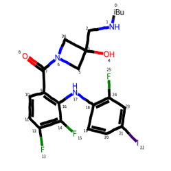 CCC(C)NCC1(O)CN(C(=O)c2ccc(F)c(F)c2Nc2ccc(I)cc2F)C1